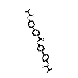 C=C(C)C(=O)Oc1ccc(-c2ccc(SC(=O)c3ccc(-c4ccc(OC(=O)C(=C)C)cc4)cc3)cc2)cc1